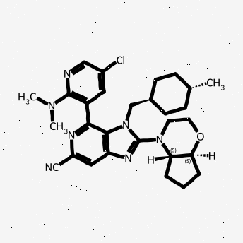 CN(C)c1ncc(Cl)cc1-c1nc(C#N)cc2nc(N3CCO[C@H]4CCC[C@@H]43)n(C[C@H]3CC[C@H](C)CC3)c12